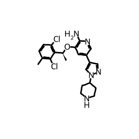 Cc1ccc(Cl)c([C@H](C)Oc2cc(-c3cnn(C4CCNCC4)c3)cnc2N)c1Cl